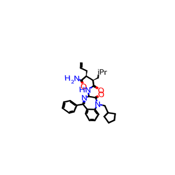 C=CC[C@H](C(N)=O)[C@@H](CC(C)C)C(=O)NC1N=C(c2ccccc2)c2ccccc2N(CC2CCCC2)C1=O